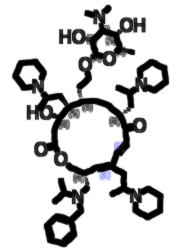 CC(C)N(Cc1ccccc1)C[C@H]1/C=C(CC(C)N2CCCCC2)/C=C/C(=O)[C@@H](CC(C)N2CCCCC2)CC[C@@H](CCO[C@@H]2O[C@H](C)[C@@H](O)[C@H](N(C)C)[C@H]2O)[C@H](CC(C)N2CCCCC2)[C@H](O)CC(=O)OC1